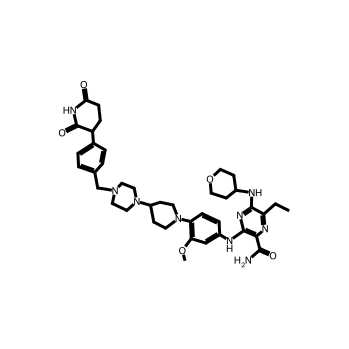 CCc1nc(C(N)=O)c(Nc2ccc(N3CCC(N4CCN(Cc5ccc(C6CCC(=O)NC6=O)cc5)CC4)CC3)c(OC)c2)nc1NC1CCOCC1